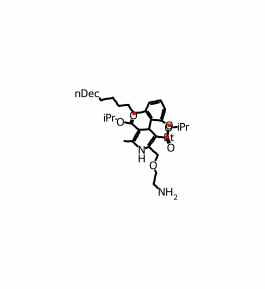 CCCCCCCCCCCCCCCc1cccc(OCC)c1C1C(C(=O)OC(C)C)=C(C)NC(COCCN)=C1C(=O)OC(C)C